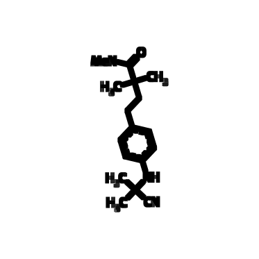 CNC(=O)C(C)(C)CCc1ccc(NC(C)(C)C#N)cc1